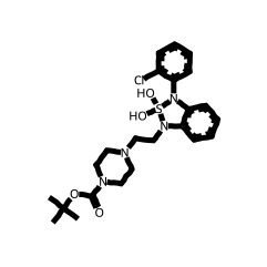 CC(C)(C)OC(=O)N1CCN(CCN2c3ccccc3N(c3ccccc3Cl)S2(O)O)CC1